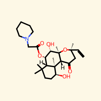 C=C[C@@]1(C)CC(=O)[C@H]2[C@](C)(O1)[C@@H](O)[C@@H](OC(=O)CN1CCCCC1)[C@H]1C(C)(C)CC[C@H](O)[C@@]12C